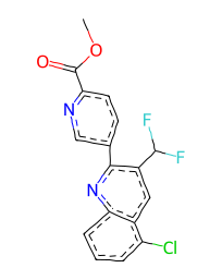 COC(=O)c1ccc(-c2nc3cccc(Cl)c3cc2C(F)F)cn1